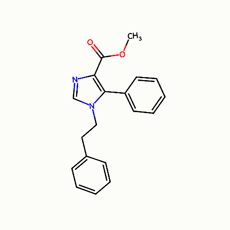 COC(=O)c1ncn(CCc2ccccc2)c1-c1ccccc1